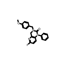 COc1ccc(CN2Cc3nc(F)ccc3N(c3ccccc3)C2=O)cc1